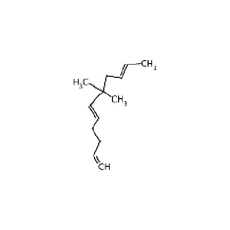 [CH]=CCCC=CC(C)(C)CC=CC